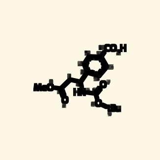 COC(=O)CC(NC(=O)OC(C)(C)C)c1ccc(C(=O)O)cc1